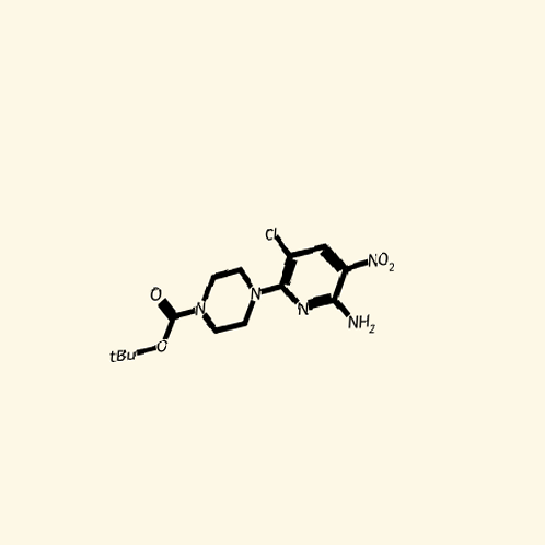 CC(C)(C)OC(=O)N1CCN(c2nc(N)c([N+](=O)[O-])cc2Cl)CC1